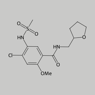 COc1cc(Cl)c(NS(C)(=O)=O)cc1C(=O)NCC1CCCO1